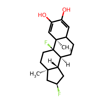 C[C@]12CC[C@@]3(F)[C@@H](CCC4C=C(O)C(O)=C[C@@]43C)[C@@H]1C[C@@H](F)C2